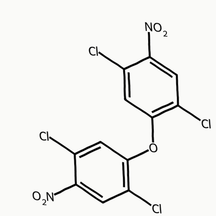 O=[N+]([O-])c1cc(Cl)c(Oc2cc(Cl)c([N+](=O)[O-])cc2Cl)cc1Cl